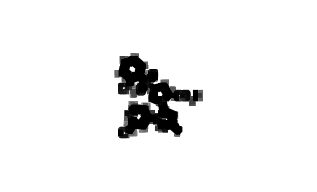 Cc1cc(N2C[C@H](S(=O)(=O)c3ccccc3C(F)(F)F)C[C@H]2C(=O)O)n(-c2ccnc(Cl)c2)n1